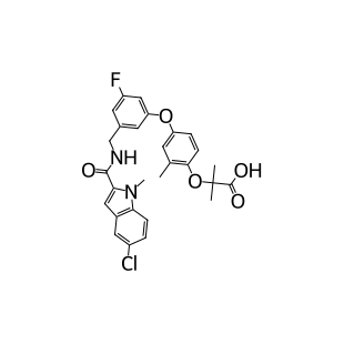 Cc1cc(Oc2cc(F)cc(CNC(=O)c3cc4cc(Cl)ccc4n3C)c2)ccc1OC(C)(C)C(=O)O